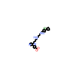 COC(=O)c1ccc2c(c1)nc(CCCCNCCCCNCc1ccc(-c3ccccc3)c(Cl)c1)c1ccncc12